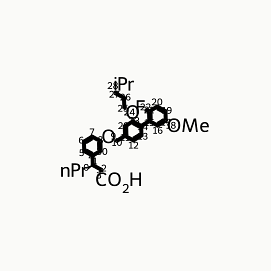 CCC[C@H](CC(=O)O)c1cccc(OCc2ccc(-c3cc(OC)ccc3F)c(OCCCC(C)C)c2)c1